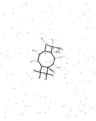 C[C@@H]1[C@H](C)[C@H]2C([C@H](C)[C@H](C)C3[C@H]1[C@](C)(N)[C@H]3C)C(C)(C)C2(C)C